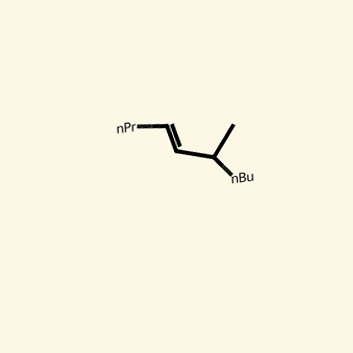 [CH2]CCCC(C)/C=C/CCC